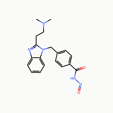 CN(C)CCc1nc2ccccc2n1Cc1ccc(C(=O)NN=O)cc1